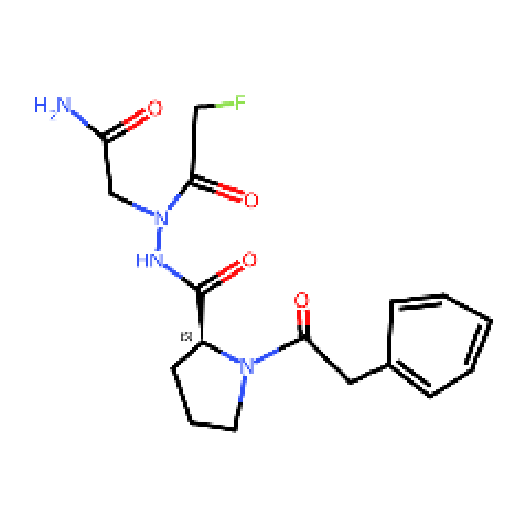 NC(=O)CN(NC(=O)[C@@H]1CCCN1C(=O)Cc1ccccc1)C(=O)CF